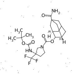 CC(C)(C)OC(=O)NC1(C(F)(F)F)CCN(C(=O)OC2[C@@H]3CC4C[C@H]2CC(C(N)=O)(C4)C3)C1